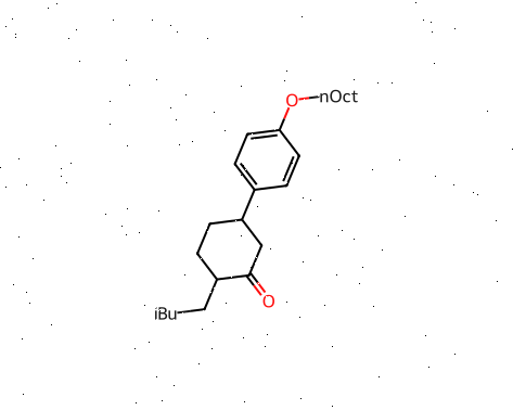 CCCCCCCCOc1ccc(C2CCC(CC(C)CC)C(=O)C2)cc1